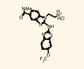 CNC(=O)c1ccc2c(c1)nc(Nc1nc3ccc(OC(F)(F)F)cc3s1)n2CCN.Cl